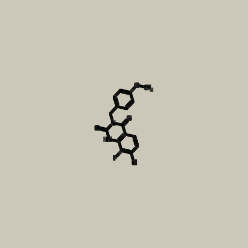 O=c1[nH]c2c(F)c(Cl)ccc2c(=O)n1Cc1ccc(OC(F)(F)F)cc1